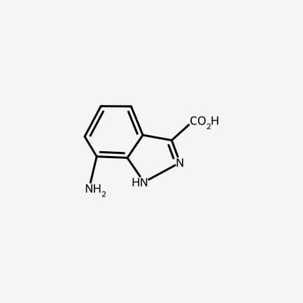 Nc1cccc2c(C(=O)O)n[nH]c12